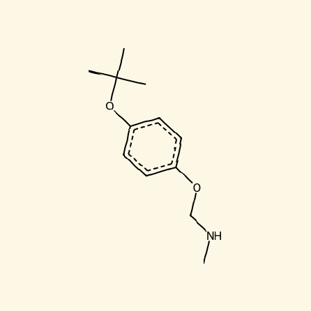 CNCOc1ccc(OC(C)(C)C)cc1